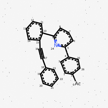 CC(=O)c1ccc(-c2cccc(-c3ccccc3C#Cc3ccccc3)n2)cc1